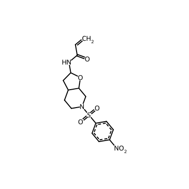 C=CC(=O)NC1CC2CCN(S(=O)(=O)c3ccc([N+](=O)[O-])cc3)CC2O1